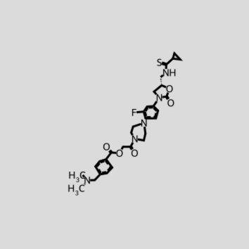 CN(C)Cc1ccc(C(=O)OCC(=O)N2CCN(c3ccc(N4C[C@H](CNC(=S)C5CC5)OC4=O)cc3F)CC2)cc1